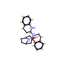 O=C1CC2CCC(C1)[N+]2C1c2ccccc2CCN1C1CCc2ccccc2N1